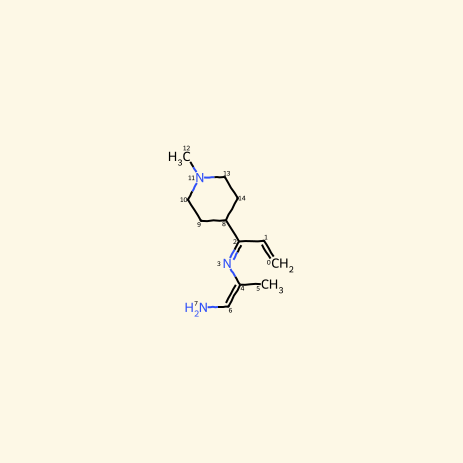 C=C/C(=N\C(C)=C/N)C1CCN(C)CC1